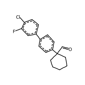 O=CC1(c2ccc(-c3ccc(Cl)c(F)c3)cc2)CCCCC1